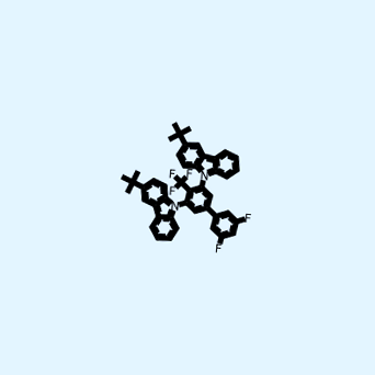 CC(C)(C)c1ccc2c(c1)c1ccccc1n2-c1cc(-c2cc(F)cc(F)c2)cc(-n2c3ccccc3c3cc(C(C)(C)C)ccc32)c1C(F)(F)F